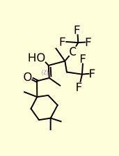 C/C(C(=O)C1(C)CCC(C)(C)CC1)=C(/O)C(C)(CC(F)(F)F)CC(F)(F)F